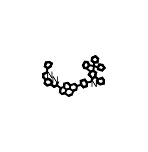 C1=CC2=CC=C(c3cnc4c(ccc5ccc(-c6ccccc6)nc54)c3)C3=CC=C4C=C(c5ccc(-c6nc7ccccc7c7cc8c(cc67)-c6ccccc6C8(c6ccccc6)c6ccccc6)cc5)C=C1C4C23